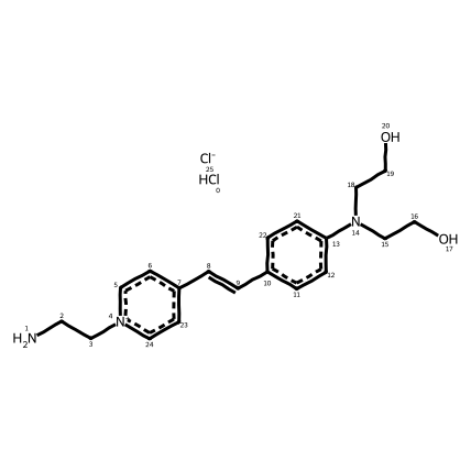 Cl.NCC[n+]1ccc(/C=C/c2ccc(N(CCO)CCO)cc2)cc1.[Cl-]